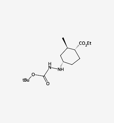 CCOC(=O)[C@@H]1CC[C@H](NNC(=O)OC(C)(C)C)C[C@H]1C